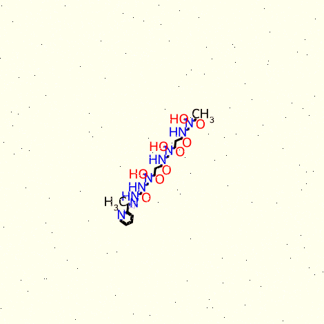 CC(=O)N(O)CNC(=O)CC(=O)N(O)CNC(=O)CC(=O)N(O)CNC(=O)N/N=C(\C)c1ccccn1